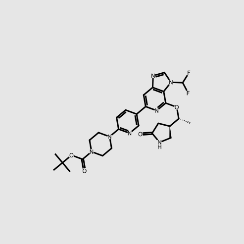 C[C@@H](Oc1nc(-c2ccc(N3CCN(C(=O)OC(C)(C)C)CC3)nc2)cc2ncn(C(F)F)c12)[C@H]1CNC(=O)C1